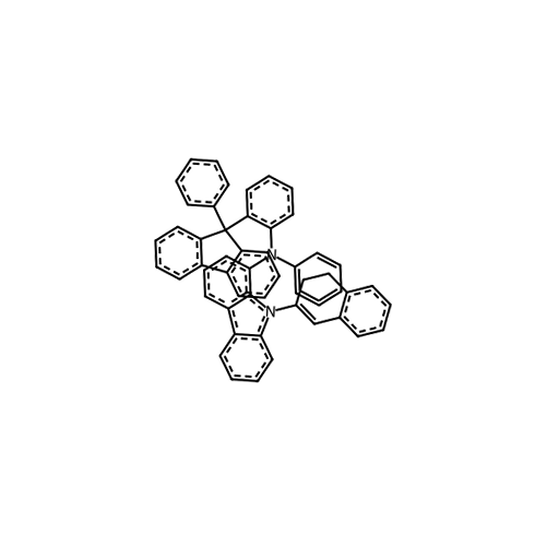 C1=C=C(N(c2ccccc2C2(c3ccccc3)c3ccccc3-c3ccccc32)c2cccc3c4ccccc4n(C4=Cc5ccccc5CC4)c23)C=CC=1